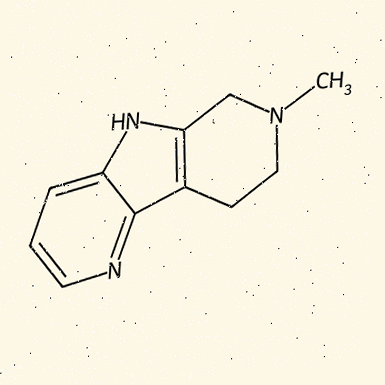 CN1CCc2c([nH]c3cccnc23)C1